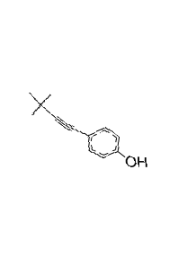 CC(C)(C)C#Cc1ccc(O)cc1